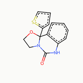 O=C1Nc2ccccc2C2(c3cccs3)OCCN12